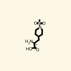 CS(=O)(=O)N1CCC(C[C@H](N)C(=O)O)CC1